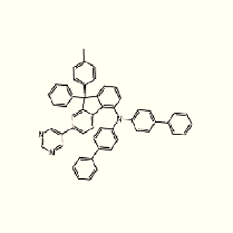 Cc1ccc([C@]2(c3ccccc3)c3cc(-c4cncnc4)ccc3-c3c(N(c4ccc(-c5ccccc5)cc4)c4ccc(-c5ccccc5)cc4)cccc32)cc1